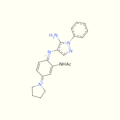 CC(=O)NC1=CC(=[N+]2CCCC2)C=C/C1=N/c1cnn(-c2ccccc2)c1N